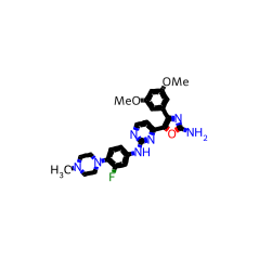 COc1cc(OC)cc(-c2nc(N)oc2-c2ccnc(Nc3ccc(N4CCN(C)CC4)c(F)c3)n2)c1